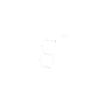 CC(C)(C)ON[C@H](Cc1ccc(O)cc1)C(=O)O